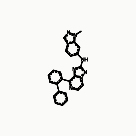 Cn1ncc2ccc(Nc3nc4c(-c5ccccc5-c5ccccc5)nccn4n3)cc21